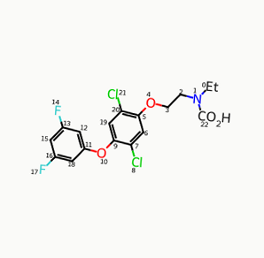 CCN(CCOc1cc(Cl)c(Oc2cc(F)cc(F)c2)cc1Cl)C(=O)O